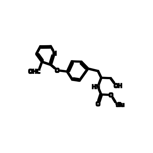 CC(C)(C)OC(=O)NC(CO)Cc1ccc(Oc2ncccc2C=O)cc1